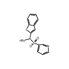 CCCCN(c1cc2ccccc2s1)S(=O)(=O)c1cccnc1